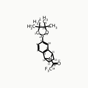 CC1(C)OB(c2ccc3c(c2)C2CCC3N2C(=O)C(F)(F)F)OC1(C)C